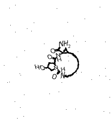 NC(=O)C12CC1C=CCCCCCNC(=O)N1CC(O)CC1C(=O)N2